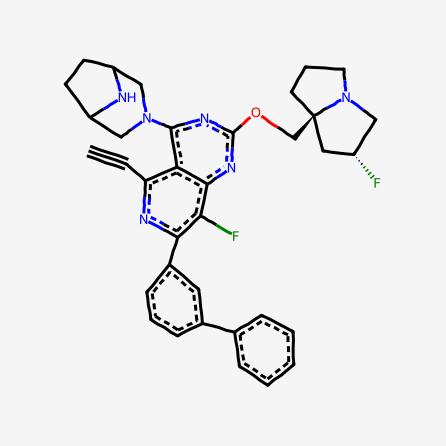 C#Cc1nc(-c2cccc(-c3ccccc3)c2)c(F)c2nc(OC[C@@]34CCCN3C[C@H](F)C4)nc(N3CC4CCC(C3)N4)c12